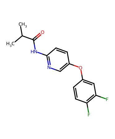 CC(C)C(=O)Nc1ccc(Oc2ccc(F)c(F)c2)cn1